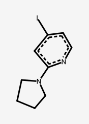 Ic1ccnc(N2CCCC2)c1